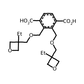 CCC1(COCc2c(C(=O)O)ccc(C(=O)O)c2COCC2(CC)COC2)COC1